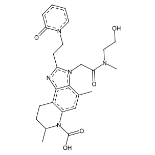 Cc1cc2c(c3nc(CCn4ccccc4=O)n(CC(=O)N(C)CCO)c13)CCC(C)N2C(=O)O